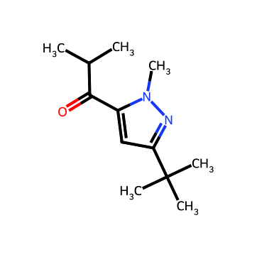 CC(C)C(=O)c1cc(C(C)(C)C)nn1C